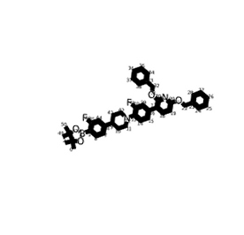 CC1(C)OB(c2ccc(C3CCN(c4ccc(-c5ccc(OCc6ccccc6)nc5OCc5ccccc5)cc4F)CC3)cc2F)OC1(C)C